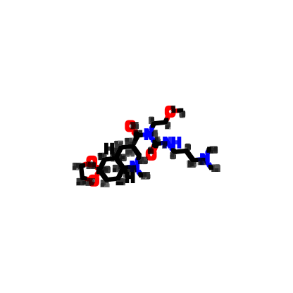 COCCN(C(=O)NCCCN(C)C)C(=O)[C@@H]1C[C@@H]2CC3(CC[C@H]2N(C)C1)OCCO3